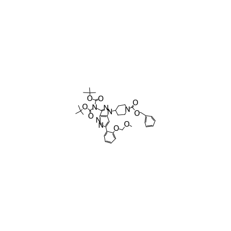 COCOc1ccccc1-c1cc2c(nn1)c(N(C(=O)OC(C)(C)C)C(=O)OC(C)(C)C)nn2C1CCN(C(=O)OCc2ccccc2)CC1